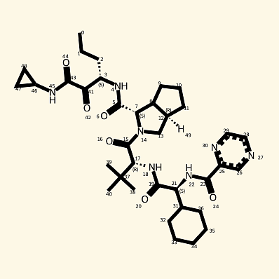 CCC[C@H](NC(=O)[C@@H]1C2CCC[C@H]2CN1C(=O)[C@H](NC(=O)[C@@H](NC(=O)c1cnccn1)C1CCCCC1)C(C)(C)C)C(=O)C(=O)NC1CC1